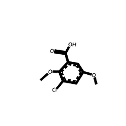 COc1cc(Cl)c(OC)c(C(=O)O)c1